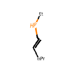 CCCC=CPCC